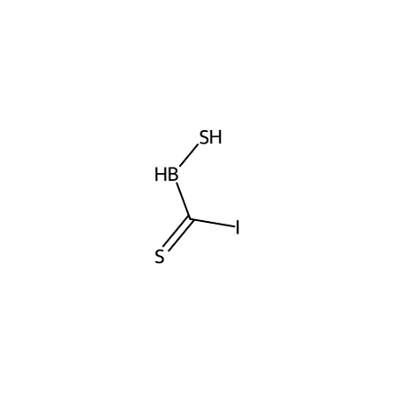 S=C(I)BS